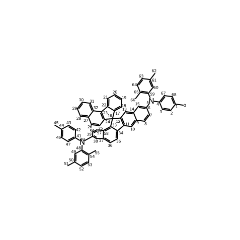 Cc1ccc(N(c2ccc3cc4c(cc3c2)C2(c3ccccc3-c3c2ccc2ccccc32)c2c-4ccc3cc(N(c4ccc(C)cc4)c4cc(C)ccc4C)ccc23)c2cc(C)ccc2C)cc1